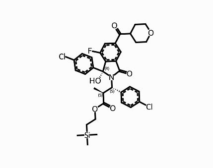 C[C@H](C(=O)OCC[Si](C)(C)C)[C@@H](c1ccc(Cl)cc1)N1C(=O)c2cc(C(=O)C3CCOCC3)cc(F)c2[C@]1(O)c1ccc(Cl)cc1